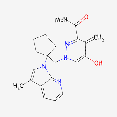 C=C1C(O)=CN(CC2(n3cc(C)c4cccnc43)CCCC2)N=C1C(=O)NC